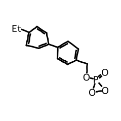 CCc1ccc(-c2ccc(COP3(=O)OO3)cc2)cc1